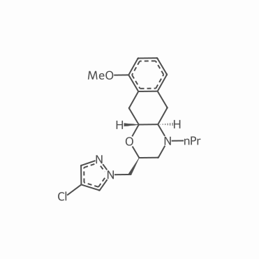 CCCN1C[C@@H](Cn2cc(Cl)cn2)O[C@@H]2Cc3c(cccc3OC)C[C@H]21